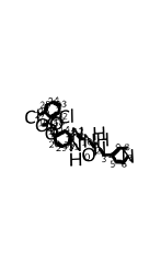 O=C(NCc1ccncc1)Nc1nc2cc(OS(=O)(=O)c3c(Cl)cccc3Cl)ccc2[nH]1